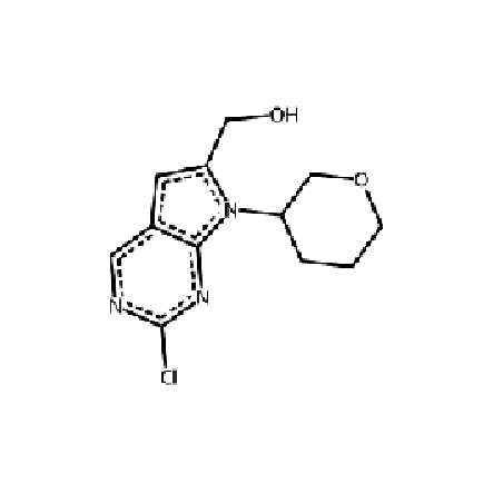 OCc1cc2cnc(Cl)nc2n1C1CCCOC1